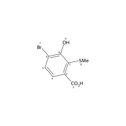 CSc1c(C(=O)O)ccc(Br)c1O